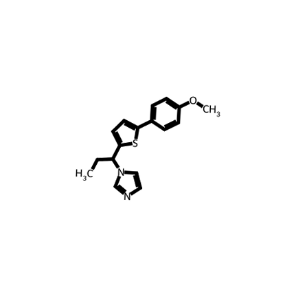 CCC(c1ccc(-c2ccc(OC)cc2)s1)n1ccnc1